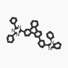 c1ccc(-c2nc(-c3ccccc3)nc(-c3ccc4c5cc(-c6cccc(-c7nc8ccccc8n7-c7ccccc7)c6)ccc5c5ccccc5c4c3)n2)cc1